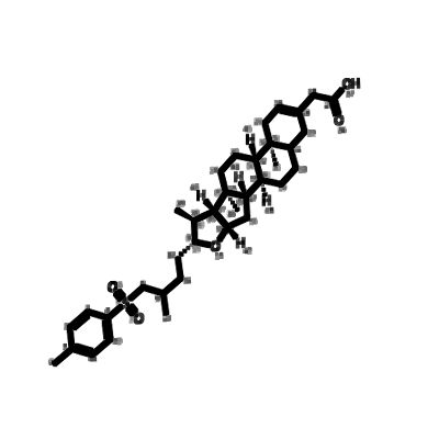 Cc1ccc(S(=O)(=O)CC(C)CC[C@H]2O[C@H]3C[C@H]4[C@@H]5CCC6CC(CC(=O)O)=CC[C@]6(C)[C@H]5CC[C@]4(C)[C@H]3[C@@H]2C)cc1